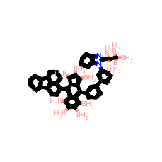 BC1=C(B)C2C(=C1B)C(c1cccc(-c3cccc(-n4c(C(B)(B)C(B)(B)B)nc5ccccc54)c3)c1)=c1c(B)c(B)c(B)c(B)c1=C2c1ccc2c3c(cccc13)-c1ccccc1-2